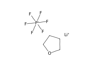 C1CCOC1.F[P-](F)(F)(F)(F)F.[Li+]